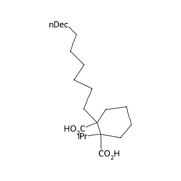 CCCCCCCCCCCCCCCCC1(C(=O)O)CCCCC1(C(=O)O)C(C)C